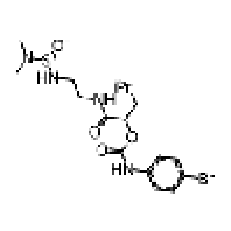 CC(C)CC(OC(=O)Nc1ccc(Br)cc1)C(=O)NCCN[S+]([O-])N(C)C